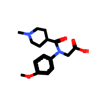 COc1ccc(N(CC(=O)O)C(=O)C2CCN(C)CC2)cc1